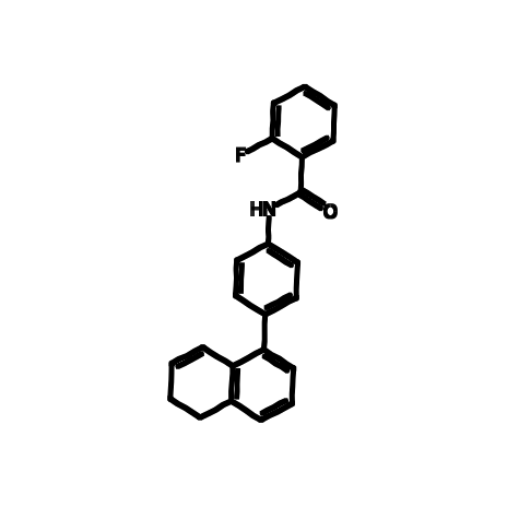 O=C(Nc1ccc(-c2cccc3c2C=CCC3)cc1)c1ccccc1F